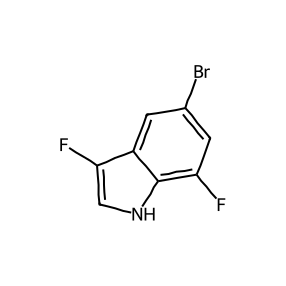 Fc1c[nH]c2c(F)cc(Br)cc12